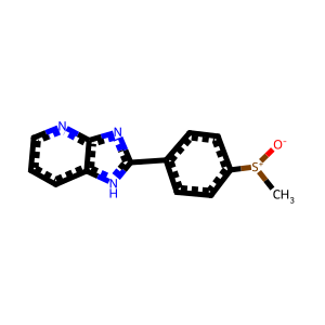 C[S+]([O-])c1ccc(-c2nc3ncccc3[nH]2)cc1